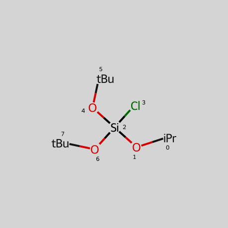 CC(C)O[Si](Cl)(OC(C)(C)C)OC(C)(C)C